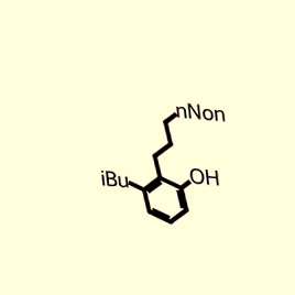 CCCCCCCCCCCCc1c(O)cccc1C(C)CC